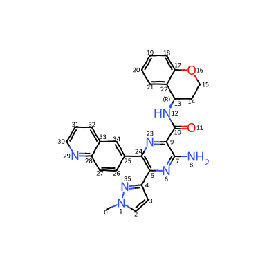 Cn1ccc(-c2nc(N)c(C(=O)N[C@@H]3CCOc4ccccc43)nc2-c2ccc3ncccc3c2)n1